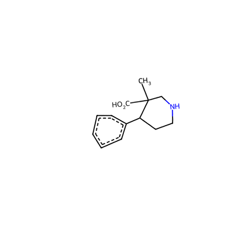 CC1(C(=O)O)CNCCC1c1ccccc1